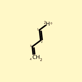 [2H]C=CC=C